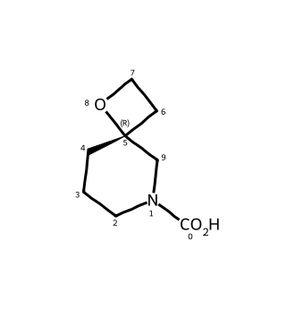 O=C(O)N1CCC[C@@]2(CCO2)C1